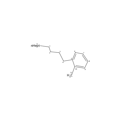 CCCCCCCCCCCc1ccccc1C